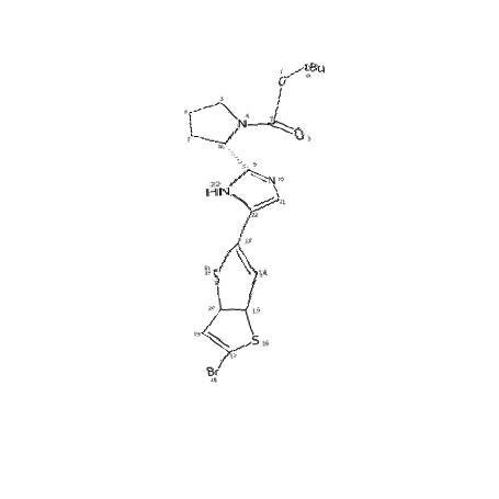 CC(C)(C)OC(=O)N1CCC[C@H]1c1ncc(C2=CC3SC(Br)=CC3S2)[nH]1